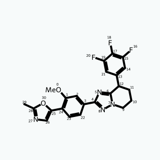 COc1cc(-c2nc3n(n2)CCCC3c2cc(F)c(F)c(F)c2)ccc1-c1cnc(C)o1